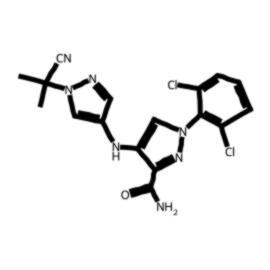 CC(C)(C#N)n1cc(Nc2cn(-c3c(Cl)cccc3Cl)nc2C(N)=O)cn1